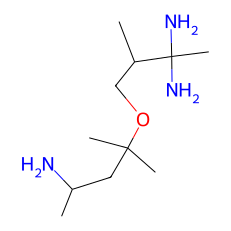 CC(N)CC(C)(C)OCC(C)C(C)(N)N